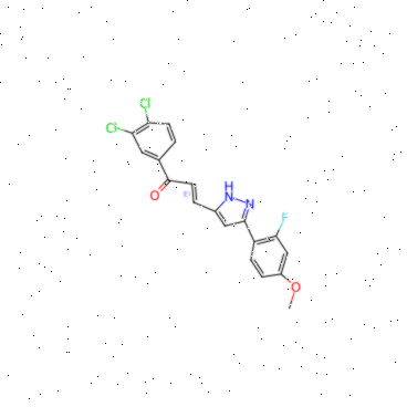 COc1ccc(-c2cc(/C=C/C(=O)c3ccc(Cl)c(Cl)c3)[nH]n2)c(F)c1